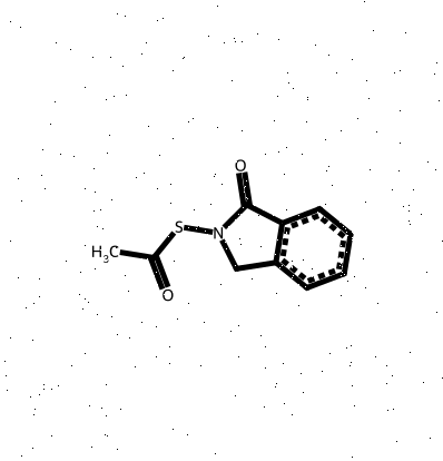 CC(=O)SN1Cc2ccccc2C1=O